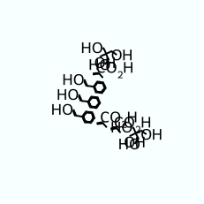 C=C(C)C(=O)O.C=C(C)C(=O)O.C=C(C)C(=O)O.OC=Cc1ccccc1.OC=Cc1ccccc1.OC=Cc1ccccc1.OCC(CO)(CO)CO.OCC(CO)(CO)CO